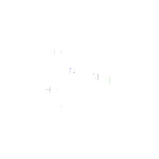 C[N](C)[Al+2].[Cl-].[Cl-]